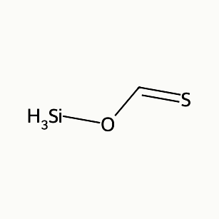 [SiH3]OC=S